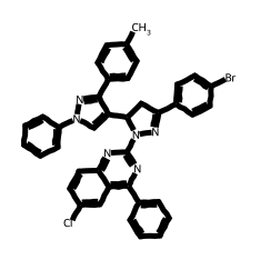 Cc1ccc(-c2nn(-c3ccccc3)cc2C2CC(c3ccc(Br)cc3)=NN2c2nc(-c3ccccc3)c3cc(Cl)ccc3n2)cc1